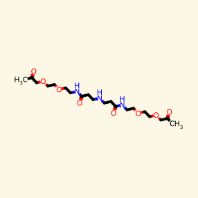 CC(=O)COCCOCCNC(=O)CCNCCC(=O)NCCOCCOCC(C)=O